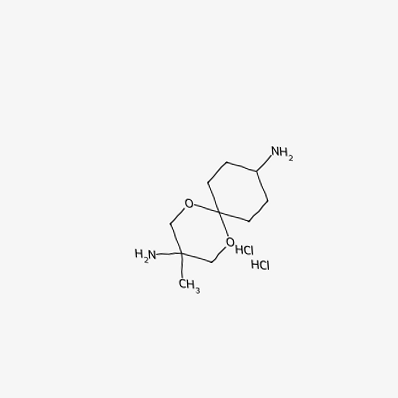 CC1(N)COC2(CCC(N)CC2)OC1.Cl.Cl